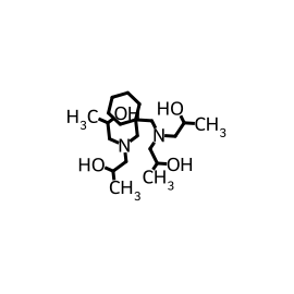 CC(O)CN(CC(C)O)CC1(CN(CC(C)O)CC(C)O)CCCCC1